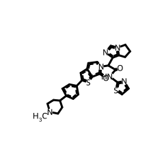 CN1CCC(c2ccc(-c3cc4ccn(C(C(=O)Nc5nccs5)c5ncn6c5CCC6)c(=O)c4s3)cc2)CC1